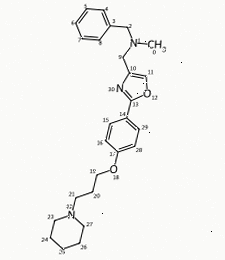 CN(Cc1ccccc1)Cc1coc(-c2ccc(OCCCN3CCCCC3)cc2)n1